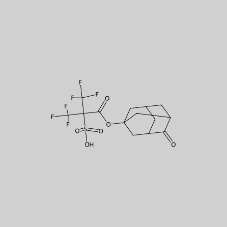 O=C1C2CC3CC1CC(OC(=O)C(C(F)(F)F)(C(F)(F)F)S(=O)(=O)O)(C3)C2